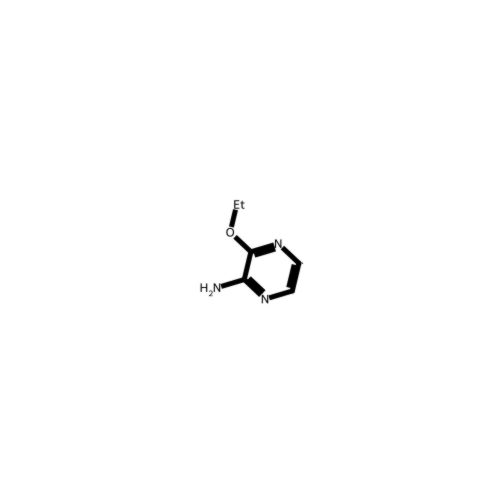 CCOc1n[c]cnc1N